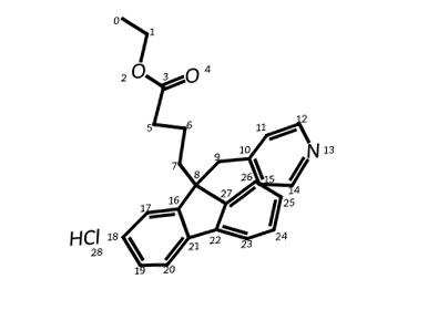 CCOC(=O)CCCC1(Cc2ccncc2)c2ccccc2-c2ccccc21.Cl